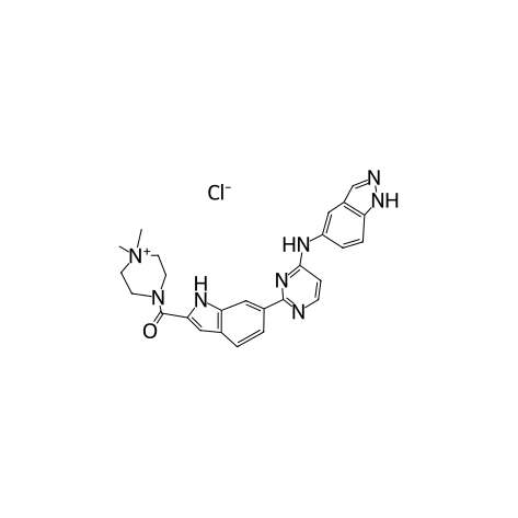 C[N+]1(C)CCN(C(=O)c2cc3ccc(-c4nccc(Nc5ccc6[nH]ncc6c5)n4)cc3[nH]2)CC1.[Cl-]